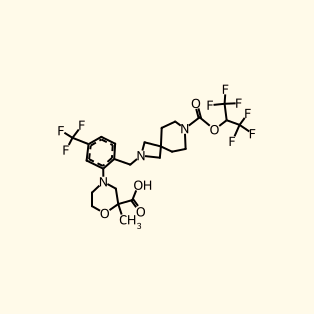 CC1(C(=O)O)CN(c2cc(C(F)(F)F)ccc2CN2CC3(CCN(C(=O)OC(C(F)(F)F)C(F)(F)F)CC3)C2)CCO1